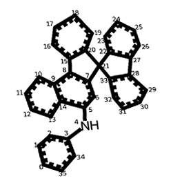 c1ccc(Nc2cc3c(c4ccccc24)-c2ccccc2C32c3ccccc3-c3ccccc32)cc1